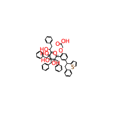 O=C(O)COc1ccc(C(Cc2ccccc2)c2cccs2)cc1[C@@H]1O[C@H](C(O)Cc2ccccc2)[C@](O)(Cc2ccccc2)[C@@](O)(Cc2ccccc2)[C@]1(O)Cc1ccccc1